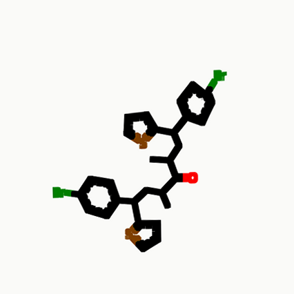 CC(CC(c1ccc(Br)cc1)c1cccs1)C(=O)C(C)CC(c1ccc(Br)cc1)c1cccs1